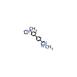 Cc1ncc(-c2ccc(-c3ccc(C(C)N4CCCC4)cc3)cc2)cn1